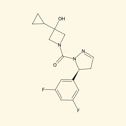 O=C(N1CC(O)(C2CC2)C1)N1N=CC[C@H]1c1cc(F)cc(F)c1